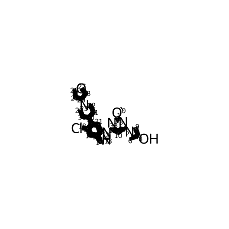 COc1nc(N2CC(O)C2)cc(-n2ncc3cc(Cl)c(C4CCN(C5CCOC5)CC4)cc32)n1